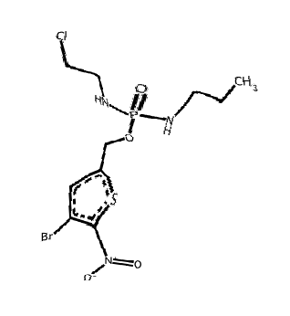 CCCNP(=O)(NCCCl)OCc1cc(Br)c([N+](=O)[O-])s1